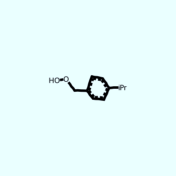 CC(C)c1ccc(COO)cc1